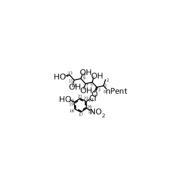 CCCCCC(C)C(=O)C(O)C(O)C(O)C(O)CO.O=[N+]([O-])c1ccc(O)cc1Cl